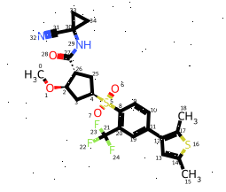 CO[C@@H]1C[C@H](S(=O)(=O)c2ccc(-c3cc(C)sc3C)cc2C(F)(F)F)C[C@H]1C(=O)NC1(C#N)CC1